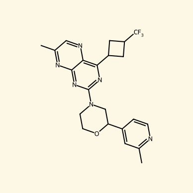 Cc1cc(C2CN(c3nc(C4CC(C(F)(F)F)C4)c4ncc(C)nc4n3)CCO2)ccn1